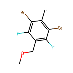 [CH2]c1c(Br)c(F)c(COC)c(F)c1Br